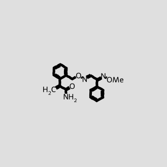 C=C(C(N)=O)c1ccccc1CO/N=C/C(=N/OC)c1ccccc1